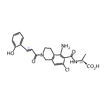 C[C@H](NC(=O)c1c(Cl)cc2c(c1N)CCN(C(=O)/C=C/c1ccccc1O)C2)C(=O)O